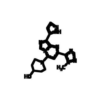 Cn1ncnc1-c1cc(N2CCC(O)CC2)n2cnc(-c3ccn[nH]3)c2n1